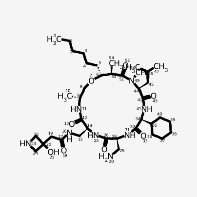 CCCCCC[C@H]1OC[C@@H](C)NC(=O)[C@H](CNC(=O)CC2(O)CNC2)NC(=O)[C@H](CN)NC(=O)[C@H](C2CCCCC2)NC(=O)[C@H](CC(C)C)N(C)C(=O)[C@@H]1C